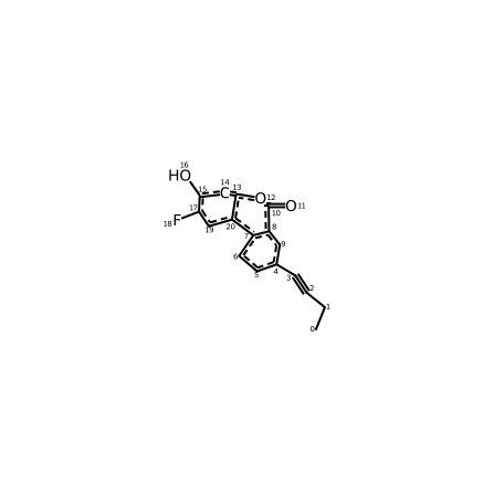 CCC#Cc1ccc2c(c1)c(=O)oc1cc(O)c(F)cc12